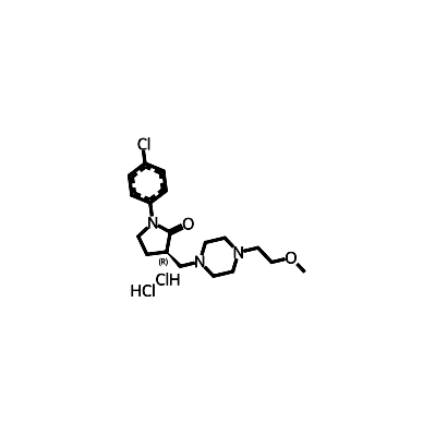 COCCN1CCN(C[C@H]2CCN(c3ccc(Cl)cc3)C2=O)CC1.Cl.Cl